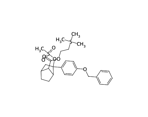 CS(C)(C)CCOC(=O)C1C2CCC1C(OS(C)(=O)=O)(c1ccc(OCc3ccccc3)cc1)C2